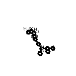 CC1(C)c2ccccc2-c2c1ccc1c2Oc2ccc(-c3ccc(-c4cc(-c5ccccc5)nc(-c5ccc(-c6ccccc6)c6ccccc56)n4)cc3)cc2O1